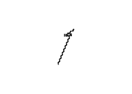 C=CCc1c[nH]c(CCCCCCCCCCCCCCCCC)n1